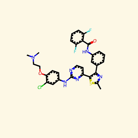 Cc1nc(-c2cccc(NC(=O)c3c(F)cccc3F)c2)c(-c2ccnc(Nc3ccc(OCCN(C)C)c(Cl)c3)n2)s1